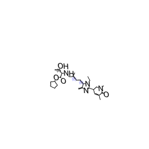 C=c1nc(C2C=C(C)C(=O)N(C)C2)n(CC)/c1=C/C=C(\C)CNC(C(=O)OC1CCCC1)[C@@H](C)O